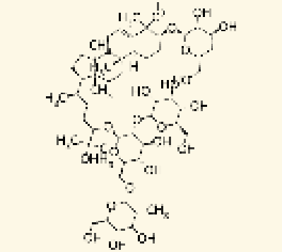 C[C@H]1[C@@H](OC[C@H]2O[C@@H](O[C@H](CC[C@@H](C)[C@H]3CC[C@@]4(C)C5CC=C6[C@@H](CC[C@H](O[C@@H]7O[C@H](CO)C[C@H](O)[C@H]7O)C6(C)C)[C@]5(C)CC[C@]34C)C(C)(C)O)[C@H](O[C@@H]3O[C@H](CO)[C@@H](O)[C@H](O)[C@H]3O)[C@@H](O)[C@@H]2O)O[C@H](CO)[C@@H](O)[C@@H]1O